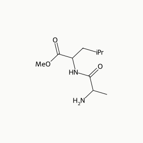 COC(=O)C(CC(C)C)NC(=O)C(C)N